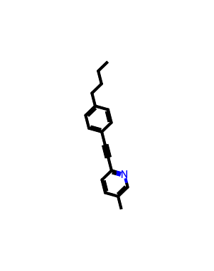 CCCCc1ccc(C#Cc2ccc(C)cn2)cc1